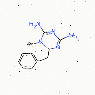 CC(C)N1C(N)=NC(N)=NC1Cc1ccccc1